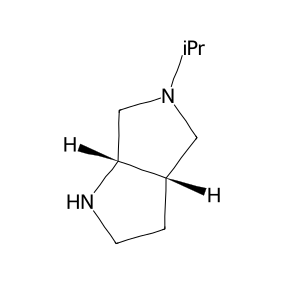 CC(C)N1C[C@@H]2CCN[C@@H]2C1